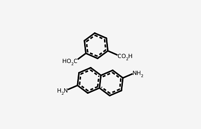 Nc1ccc2cc(N)ccc2c1.O=C(O)c1cccc(C(=O)O)c1